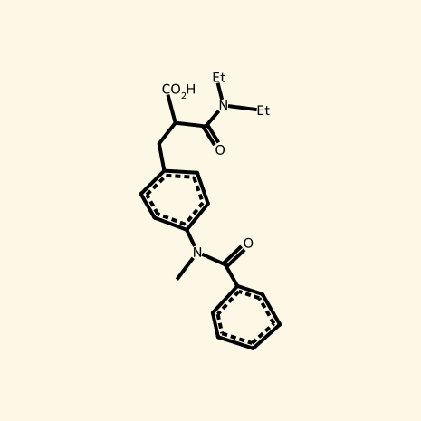 CCN(CC)C(=O)C(Cc1ccc(N(C)C(=O)c2ccccc2)cc1)C(=O)O